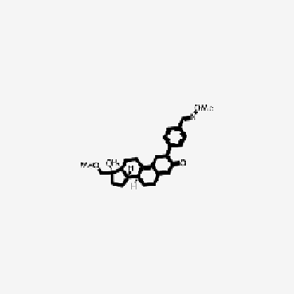 COC[C@]1(O)CC[C@H]2[C@@H]3CCC4=CC(=O)C(c5ccc(C=NOC)cc5)CC4=C3CC[C@@]21C